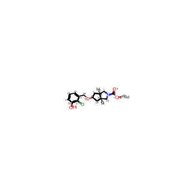 CC(C)(C)OC(=O)N1C[C@H]2CC(OCc3cccc(O)c3Cl)C[C@H]2C1